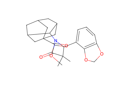 COC(=O)C12CC3CC(C1)C(N1C(=O)C(C)(C)C1c1cccc4c1OCO4)C(C3)C2